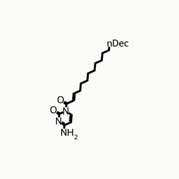 CCCCCCCCCCCCCCCCCCCC=CC(=O)n1ccc(N)nc1=O